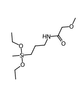 CCO[Si](C)(CCCNC(=O)COC)OCC